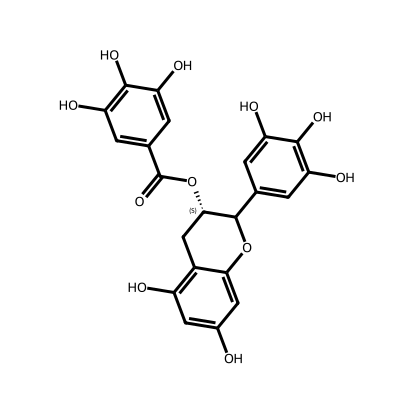 O=C(O[C@H]1Cc2c(O)cc(O)cc2OC1c1cc(O)c(O)c(O)c1)c1cc(O)c(O)c(O)c1